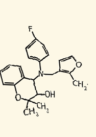 [CH2]c1occc1CN(c1ccc(F)cc1)C1c2ccccc2OC(C)(C)C1O